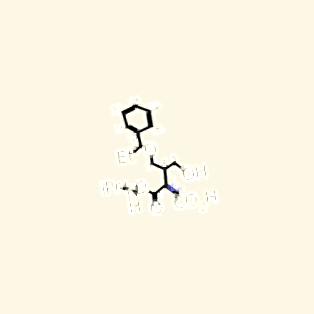 CCC(OCC(CO)/C(=C/C(=O)O)C(=O)ONC(C)C)c1ccccc1